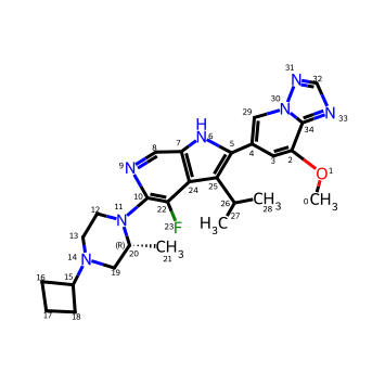 COc1cc(-c2[nH]c3cnc(N4CCN(C5CCC5)C[C@H]4C)c(F)c3c2C(C)C)cn2ncnc12